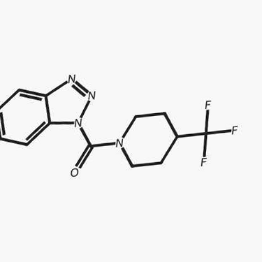 O=C(N1CCC(C(F)(F)F)CC1)n1nnc2ccccc21